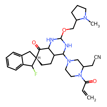 C=CC(=O)N1CCN(C2NC(OCC3CCCN3C)NC3C(=O)[C@@]4(CCC32)Cc2ccccc2C4F)CC1CC#N